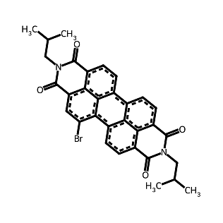 CC(C)CN1C(=O)c2ccc3c4ccc5c6c(cc(Br)c(c7ccc(c2c37)C1=O)c64)C(=O)N(CC(C)C)C5=O